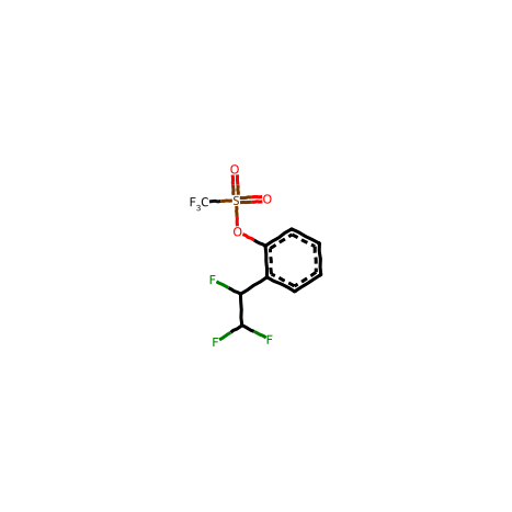 O=S(=O)(Oc1ccccc1C(F)C(F)F)C(F)(F)F